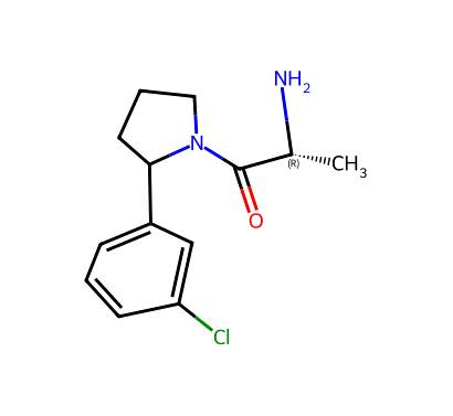 C[C@@H](N)C(=O)N1CCCC1c1cccc(Cl)c1